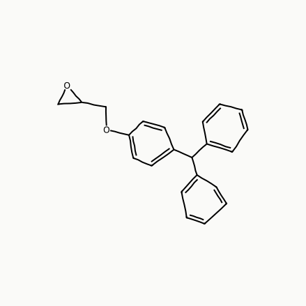 c1ccc(C(c2ccccc2)c2ccc(OCC3CO3)cc2)cc1